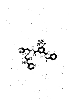 C[C@H](NC[C@H](Cc1ccsc1)NC(=O)c1cc(C(=O)N[C@H](C)c2ccccc2)cc(N(C)S(C)(=O)=O)c1)C(=O)Nc1cccnc1